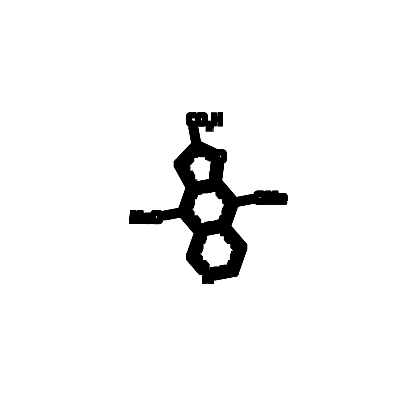 COc1c2cnccc2c(OC)c2oc(C(=O)O)cc12